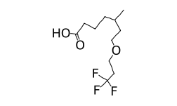 CC(CCCC(=O)O)CCOCCC(F)(F)F